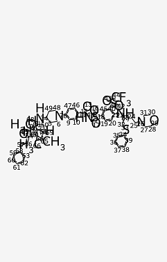 C[C@@H]1[C@@H](NC2CCN(c3ccc(C(=O)NS(=O)(=O)c4ccc(N[C@H](CCN5CCOCC5)CSc5ccccc5)c(S(=O)(=O)C(F)(F)F)c4)cc3)CC2)C[C@H]2C[C@@]1(C(=O)CCc1ccccc1)C2(C)C